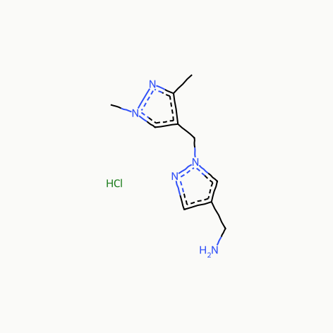 Cc1nn(C)cc1Cn1cc(CN)cn1.Cl